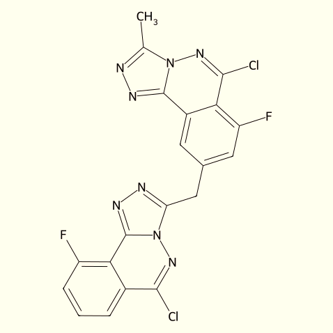 Cc1nnc2c3cc(Cc4nnc5c6c(F)cccc6c(Cl)nn45)cc(F)c3c(Cl)nn12